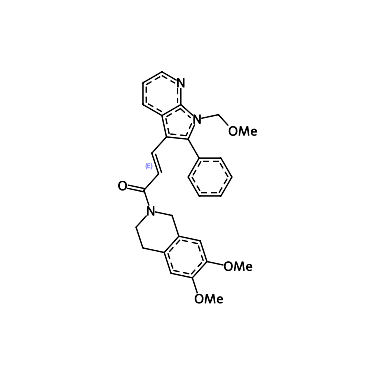 COCn1c(-c2ccccc2)c(/C=C/C(=O)N2CCc3cc(OC)c(OC)cc3C2)c2cccnc21